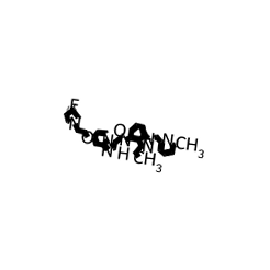 CCc1nn(Cc2cccc(C)n2)c2cccc(NC(=O)c3cnc4cc(OCCN5CC[C@H](F)C5)ccn34)c12